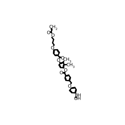 C=CC(=O)OCCCCOc1ccc(C(=O)Oc2ccc(OC(=O)c3ccc(COc4ccc(BO)cc4)cc3)c(C)c2C)cc1